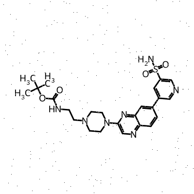 CC(C)(C)OC(=O)NCCN1CCN(c2cnc3ccc(-c4cncc(S(N)(=O)=O)c4)cc3n2)CC1